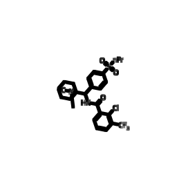 CCCS(=O)(=O)c1ccc(C(NC(=O)c2cccc(C(F)(F)F)c2Cl)C23CCC(CC2)CN3C)cc1